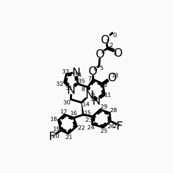 COC(=O)OCOc1c2n(ncc1=O)[C@@H](C(c1ccc(F)cc1)c1ccc(F)cc1)Cn1ccnc1-2